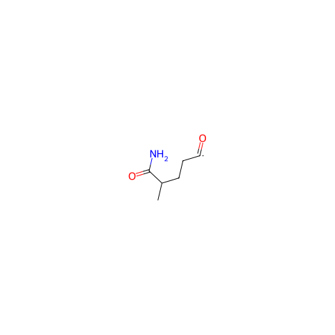 CC(CC[C]=O)C(N)=O